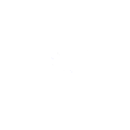 COc1ccc2c(c1)c(O)c(C(=S)N(C)c1ccccc1)c(=O)n2C